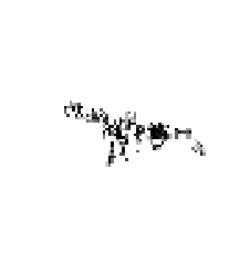 CS(=O)(=O)NCc1cc(F)cc(-c2ccnc3[nH]c(-c4n[nH]c5cnc(-c6cncc(O)c6)cc45)cc23)c1